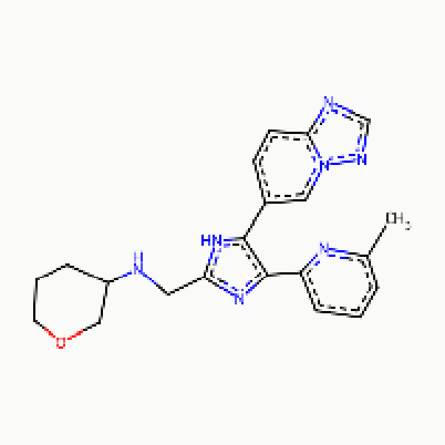 Cc1cccc(-c2nc(CNC3CCCOC3)[nH]c2-c2ccc3ncnn3c2)n1